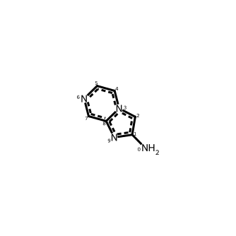 Nc1cn2ccncc2n1